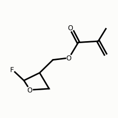 C=C(C)C(=O)OCC1COC1F